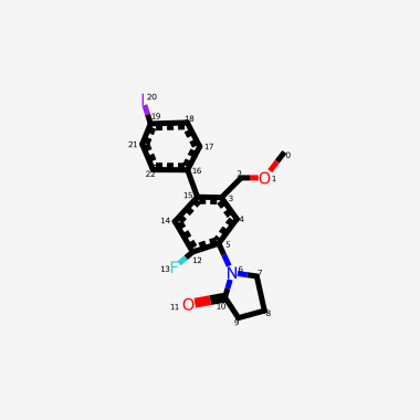 COCc1cc(N2CCCC2=O)c(F)cc1-c1ccc(I)cc1